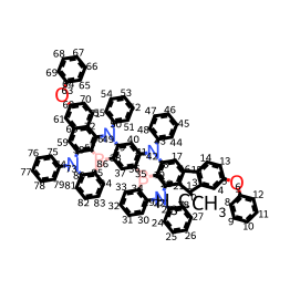 CC1(C)c2cc(Oc3ccccc3)ccc2-c2cc3c4c(c21)N(c1ccccc1)c1ccccc1B4c1cc2c(cc1N3c1ccccc1)N(c1ccccc1)c1c3c(cc4cc(Oc5ccccc5)ccc14)N(c1ccccc1)c1ccccc1B23